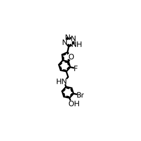 Oc1ccc(NCc2ccc3cc(-c4nnn[nH]4)oc3c2F)cc1Br